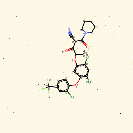 CC(Oc1cc(Oc2ccc(C(F)(F)F)cc2Cl)c(Cl)cc1Cl)C(=O)C(C#N)C(=O)N1CCCCC1